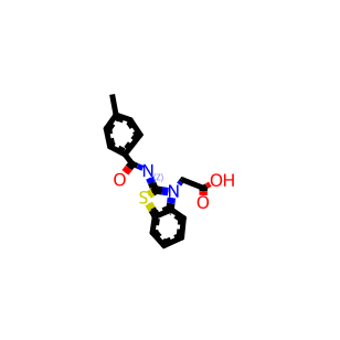 Cc1ccc(C(=O)/N=c2\sc3ccccc3n2CC(=O)O)cc1